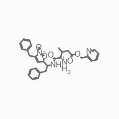 CC(CC(=O)OCc1ccccn1)[C@H](N)C(=O)NC(Cc1ccccc1)C1C=C(Cc2ccccc2)[N+](=O)O1